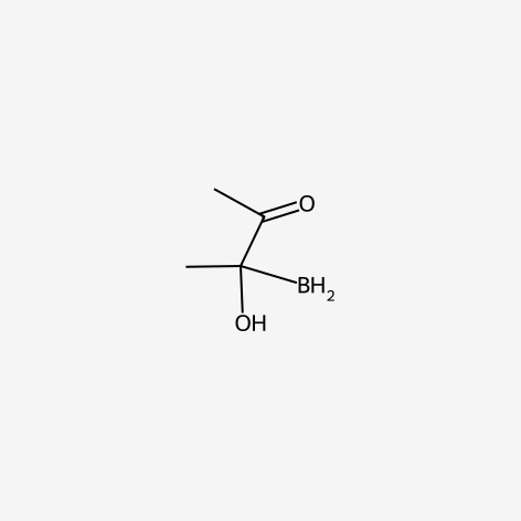 BC(C)(O)C(C)=O